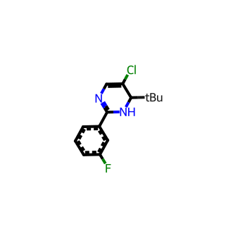 CC(C)(C)C1NC(c2cccc(F)c2)=NC=C1Cl